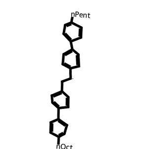 CCCCCCCCc1ccc(-c2ccc(C[CH]c3ccc(-c4ccc(CCCCC)cc4)cc3)cc2)cc1